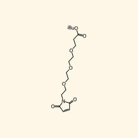 CC(C)COC(=O)CCOCCOCCOCCN1C(=O)C=CC1=O